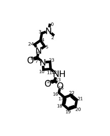 CN(C)CC1CN(C(=O)N2CC(NC(=O)OCc3ccccc3)C2)C1